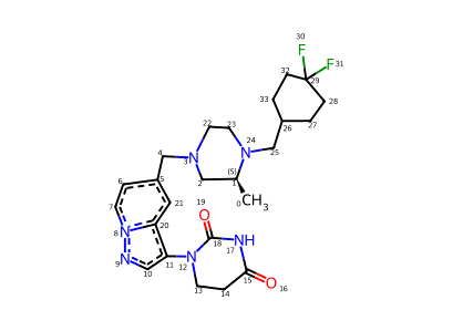 C[C@H]1CN(Cc2ccn3ncc(N4CCC(=O)NC4=O)c3c2)CCN1CC1CCC(F)(F)CC1